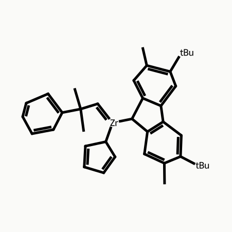 Cc1cc2c(cc1C(C)(C)C)-c1cc(C(C)(C)C)c(C)cc1[CH]2[Zr](=[CH]C(C)(C)c1ccccc1)[CH]1C=CC=C1